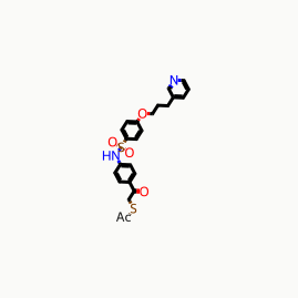 CC(=O)SCC(=O)c1ccc(NS(=O)(=O)c2ccc(OCCCc3cccnc3)cc2)cc1